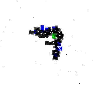 COc1cc(-c2cccc(-c3ccnc(-c4cnc(CNC5CCN(C(C)=O)CC5)c(OC)c4)c3Cl)c2Cl)cnc1CNC1CCN(C(C)=O)CC1